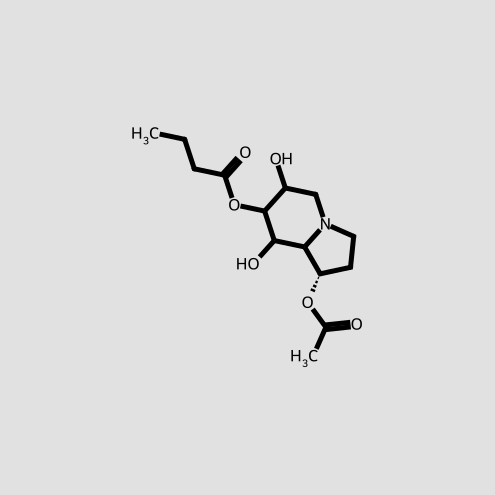 CCCC(=O)OC1C(O)CN2CC[C@H](OC(C)=O)C2C1O